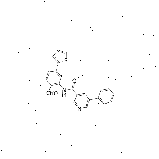 O=Cc1ccc(-c2cccs2)cc1NC(=O)c1cncc(-c2ccccc2)c1